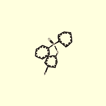 O=P(Sc1ccc(F)cc1)(c1ccccc1)c1ccccc1